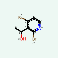 CC(O)c1c(Br)ccnc1Br